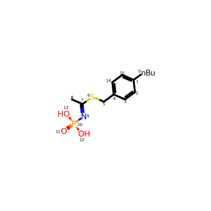 CCCCc1ccc(CSC(C)=NP(=O)(O)O)cc1